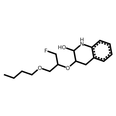 CCCCOCC(CF)OC1Cc2ccccc2NC1O